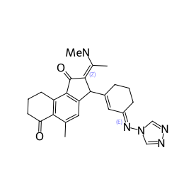 CN/C(C)=C1\C(=O)c2c(cc(C)c3c2CCCC3=O)C1C1=C/C(=N/n2cnnc2)CCC1